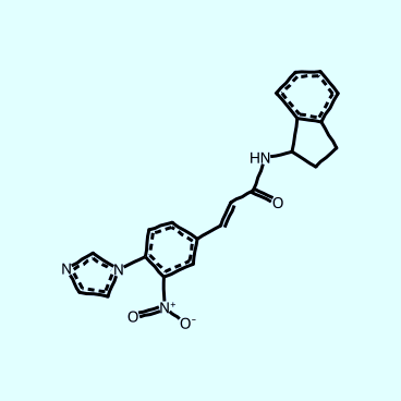 O=C(C=Cc1ccc(-n2ccnc2)c([N+](=O)[O-])c1)NC1CCc2ccccc21